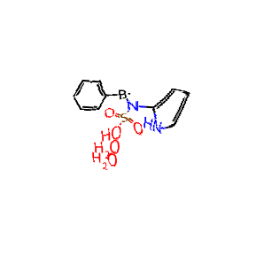 O.O.O=S(=O)(O)N([B]c1ccccc1)c1ccc[nH]1